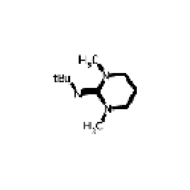 CN1CCCN(C)C1=NC(C)(C)C